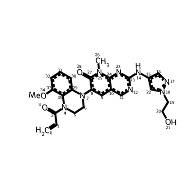 C=CC(=O)N1CCN(c2cc3cnc(Nc4cnn(CCO)c4)nc3n(C)c2=O)c2cccc(OC)c21